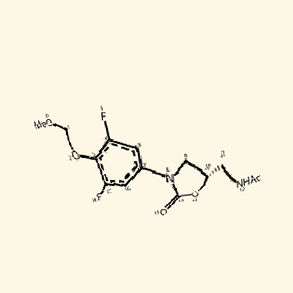 COCOc1c(F)cc(N2C[C@H](CNC(C)=O)OC2=O)cc1F